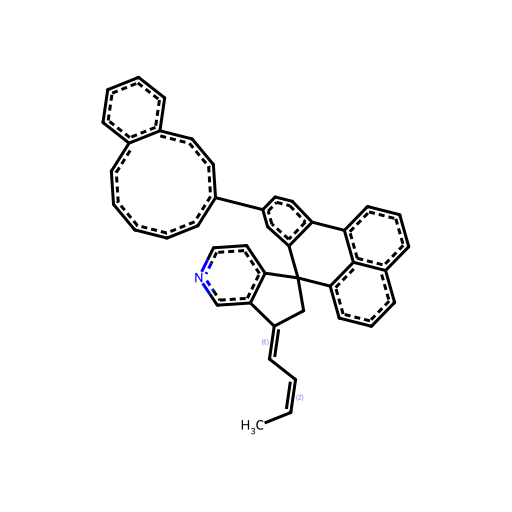 C/C=C\C=C1/CC2(c3ccncc31)c1cc(-c3cccccc4ccccc4cc3)ccc1-c1cccc3cccc2c13